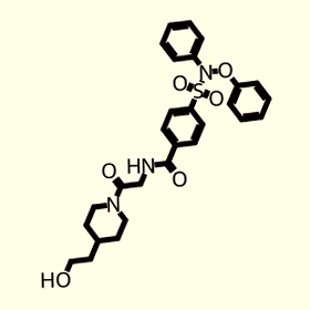 O=C(NCC(=O)N1CCC(CCO)CC1)c1ccc(S(=O)(=O)N(Oc2ccccc2)c2ccccc2)cc1